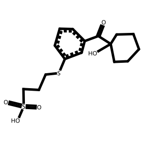 O=C(c1cccc(SCCCS(=O)(=O)O)c1)C1(O)CCCCC1